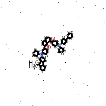 CC1(C)c2ccccc2-c2ccc(N(c3ccccc3)c3ccc4oc5c(ccc6ccc7oc8cc(N(c9ccccc9)c9ccc(-c%10ccccc%10)cc9)ccc8c7c65)c4c3)cc21